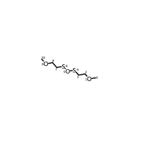 COCCSOSCCOC